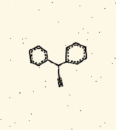 C#CC(c1ccccc1)c1ccccc1